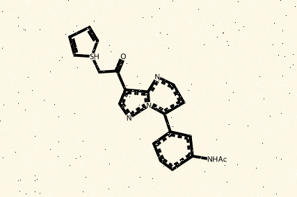 CC(=O)Nc1cccc(-c2ccnc3c(C(=O)C[SH]4C=CC=C4)cnn23)c1